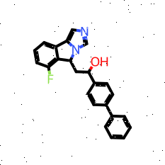 OC(CC1c2c(F)cccc2-c2cncn21)c1ccc(-c2ccccc2)cc1